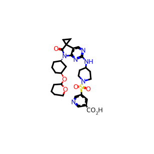 O=C(O)c1cncc(S(=O)(=O)N2CCC(Nc3ncc4c(n3)N([C@H]3CCC[C@H](OC5CCCCO5)C3)C(=O)C43CC3)CC2)c1